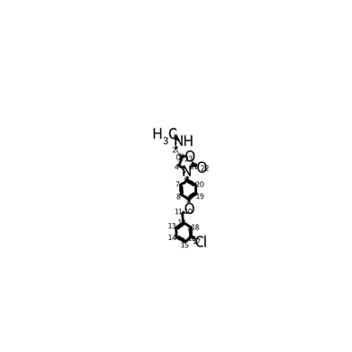 CNC[C@H]1CN(c2ccc(OCc3cccc(Cl)c3)cc2)C(=O)O1